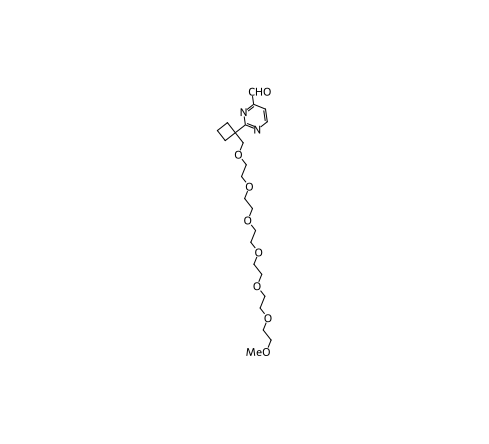 COCCOCCOCCOCCOCCOCCOCC1(c2nccc(C=O)n2)CCC1